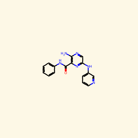 Nc1ncc(Nc2cccnc2)nc1C(=O)Nc1ccccc1